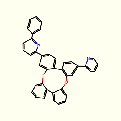 c1ccc(-c2cccc(-c3ccc4c(c3)Oc3ccccc3-c3ccccc3Oc3cc(-c5ccccn5)ccc3-4)n2)cc1